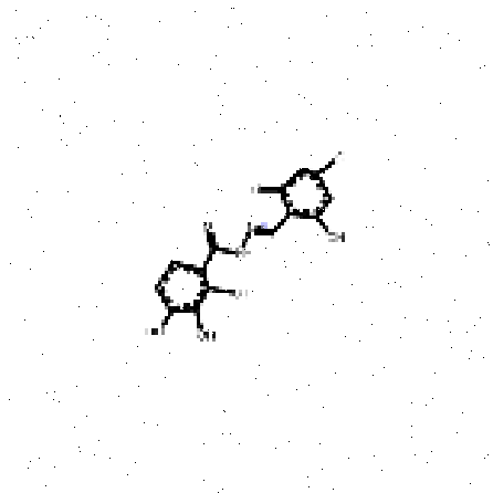 O=C(N/N=C/c1c(O)cc(Cl)cc1Cl)c1ccc(O)c(O)c1O